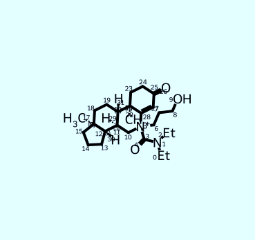 CCN(CC)C(=O)[N+]1(CCCO)C[C@H]2[C@@H]3CCC[C@@]3(C)CC[C@@H]2[C@@]2(C)CCC(=O)C=C21